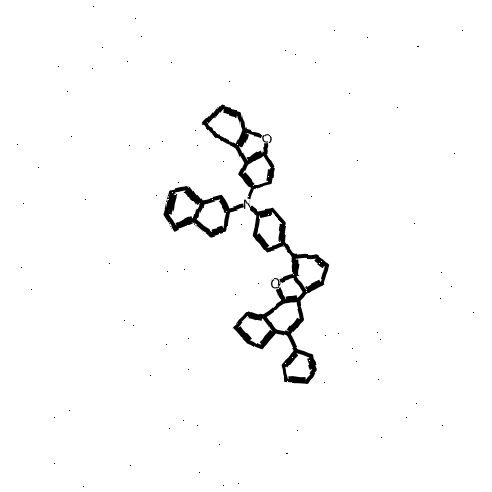 C1=Cc2oc3ccc(N(c4ccc(-c5cccc6c5oc5c7ccccc7c(-c7ccccc7)cc65)cc4)c4ccc5ccccc5c4)cc3c2CC1